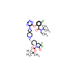 CCN(C(=O)c1cc(F)ccc1Oc1nncnc1N1CC2(CCN(C[C@H]3CC[C@]4(CC3)CC(F)(F)C(=O)N4C(=O)OC(C)(C)C)CC2)C1)C(C)C